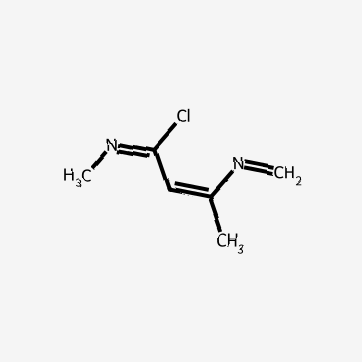 C=N/C(C)=C\C(Cl)=N/C